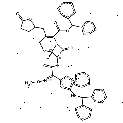 CO/N=C(\C(=O)N[C@@H]1C(=O)N2C(C(=O)OC(c3ccccc3)c3ccccc3)=C(CC3CCC(=O)O3)CS[C@@H]12)c1csc(NC(c2ccccc2)(c2ccccc2)c2ccccc2)n1